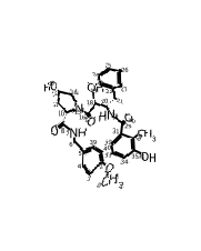 COc1ccc(CNC(=O)[C@@H]2C[C@@H](O)CN2C(=O)[C@@H](O)[C@H](Cc2ccccc2)NC(=O)c2cccc(O)c2C)cc1